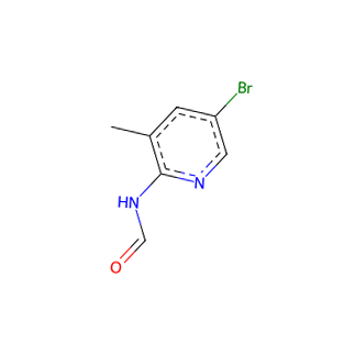 Cc1cc(Br)cnc1NC=O